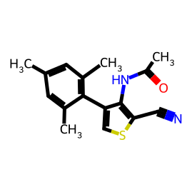 CC(=O)Nc1c(-c2c(C)cc(C)cc2C)csc1C#N